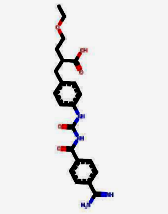 CCOCCC(Cc1ccc(NC(=O)NC(=O)c2ccc(C(=N)N)cc2)cc1)C(=O)O